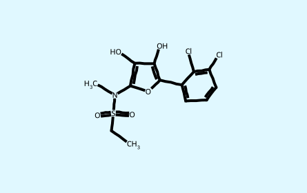 CCS(=O)(=O)N(C)c1oc(-c2cccc(Cl)c2Cl)c(O)c1O